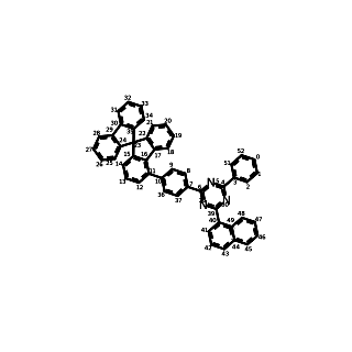 c1ccc(-c2nc(-c3ccc(-c4cccc5c4-c4ccccc4C54c5ccccc5-c5ccccc54)cc3)nc(-c3cccc4ccccc34)n2)cc1